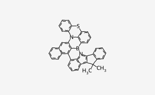 CC1(C)c2ccccc2-c2c1c1cccc3c1n2B1c2cccc4c2N(c2ccccc2S4)c2cc4ccccc4c-3c21